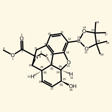 COC(=O)N1CC[C@]23c4c5ccc(B6OC(C)(C)C(C)(C)O6)c4O[C@H]2[C@@H](O)C=C[C@H]3C1C5